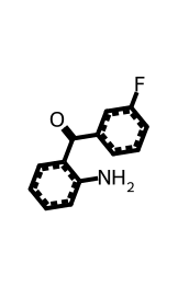 Nc1ccccc1C(=O)c1cccc(F)c1